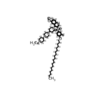 CCCCCCCCCCCCCCCCCCCCOc1ccc(S(=O)(=O)c2cnc3ccc(OC)cc3c2N2CCC(N3CCN(C4CCN(CC)CC4)CC3)CC2)cc1F